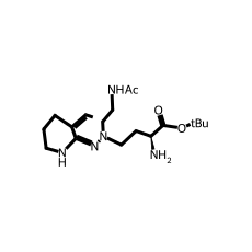 C/C=C1/CCCN/C1=N/N(CCNC(C)=O)CC[C@H](N)C(=O)OC(C)(C)C